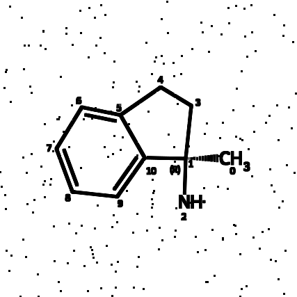 C[C@@]1([NH])CCc2ccccc21